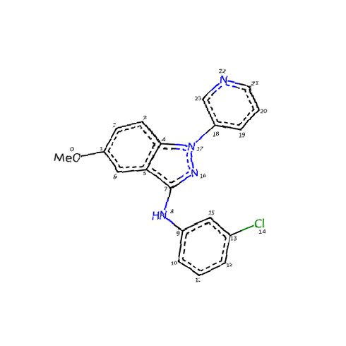 COc1ccc2c(c1)c(Nc1cccc(Cl)c1)nn2-c1cccnc1